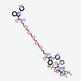 CN[C@@H](C)C(=O)N[C@H](C(=O)N1CCC[C@H]1c1cncc(-n2cc(C(=O)NCCCOCCOCCOCCOCCOCCCNC(=O)c3cn(-c4cccnc4)c4ccccc34)c3ccccc32)c1)C(C)C